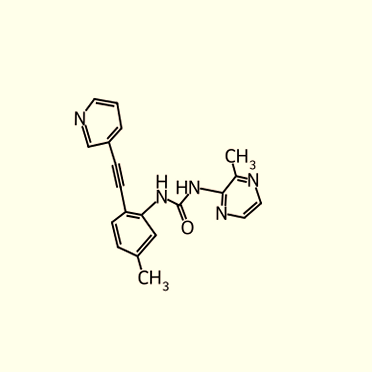 Cc1ccc(C#Cc2cccnc2)c(NC(=O)Nc2nccnc2C)c1